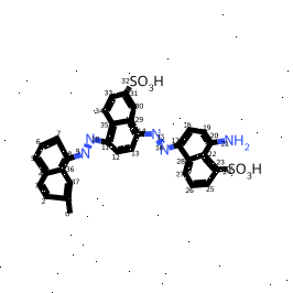 Cc1ccc2cccc(/N=N/c3ccc(/N=N/c4ccc(N)c5c(S(=O)(=O)O)cccc45)c4cc(S(=O)(=O)O)ccc34)c2c1